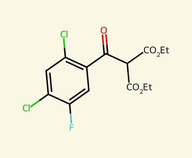 CCOC(=O)C(C(=O)OCC)C(=O)c1cc(F)c(Cl)cc1Cl